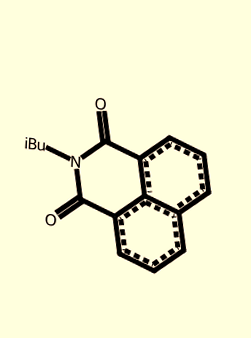 CCC(C)N1C(=O)c2cccc3cccc(c23)C1=O